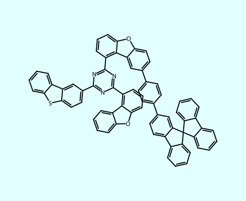 c1ccc2c(c1)-c1ccccc1C21c2ccccc2-c2ccc(-c3ccc(-c4ccc5oc6cccc(-c7nc(-c8ccc9sc%10ccccc%10c9c8)nc(-c8cccc9oc%10ccccc%10c89)n7)c6c5c4)cc3)cc21